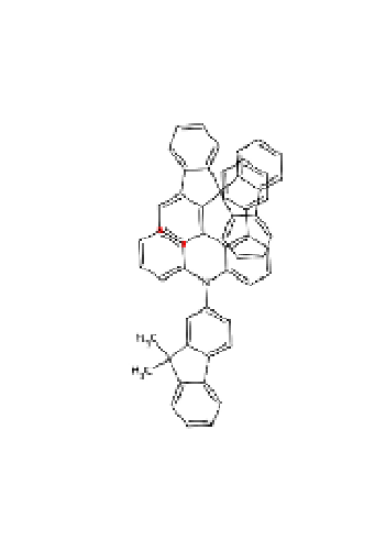 CC1(C)c2ccccc2-c2ccc(N(c3ccccc3)c3cccc(-c4ccccc4)c3-c3cccc4c3C3(c5ccccc5-c5ccccc53)c3ccccc3-4)cc21